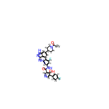 CC(C)C(=O)N1CCC(c2cc(-c3ccc(NC(=O)c4cncc(-c5ccc(F)cc5)c4O)cc3F)c3c(N)n[nH]c3c2)CC1